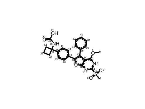 COc1nc(S(C)(=O)=O)nc2oc(-c3ccc(C4(NC(=O)O)CCC4)cc3)c(-c3ccccc3)c12